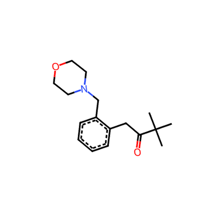 CC(C)(C)C(=O)Cc1ccccc1CN1CCOCC1